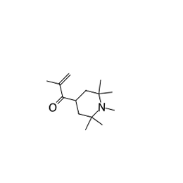 C=C(C)C(=O)C1CC(C)(C)N(C)C(C)(C)C1